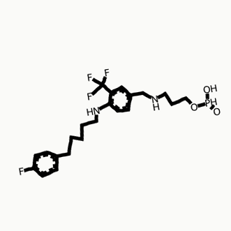 O=[PH](O)OCCCNCc1ccc(NCCCCCc2ccc(F)cc2)c(C(F)(F)F)c1